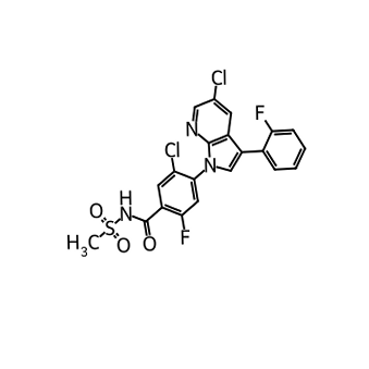 CS(=O)(=O)NC(=O)c1cc(Cl)c(-n2cc(-c3ccccc3F)c3cc(Cl)cnc32)cc1F